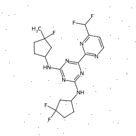 CC1(F)CCC(Nc2nc(NC3CCC(F)(F)C3)nc(-c3nccc(C(F)F)n3)n2)C1